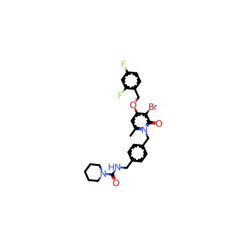 Cc1cc(OCc2ccc(F)cc2F)c(Br)c(=O)n1Cc1ccc(CNC(=O)N2CCCCC2)cc1